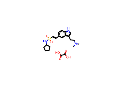 CN(C)CCc1c[nH]c2ccc(/C=C/S(=O)(=O)NC3CCCC3)cc12.O=C(O)C(=O)O